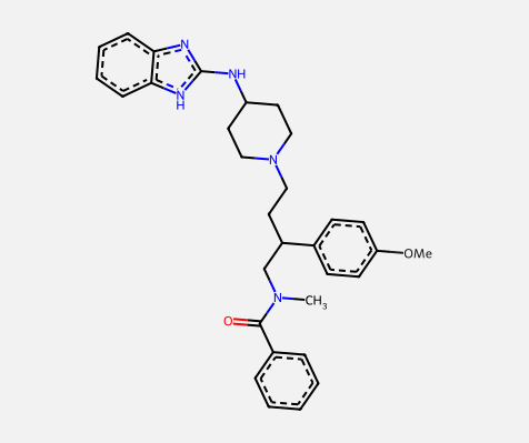 COc1ccc(C(CCN2CCC(Nc3nc4ccccc4[nH]3)CC2)CN(C)C(=O)c2ccccc2)cc1